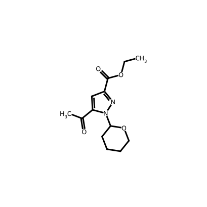 CCOC(=O)c1cc(C(C)=O)n(C2CCCCO2)n1